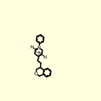 c1ccc(N2C[C@@H]3CC[C@H]2CN3CCC2COCc3ccccc32)cc1